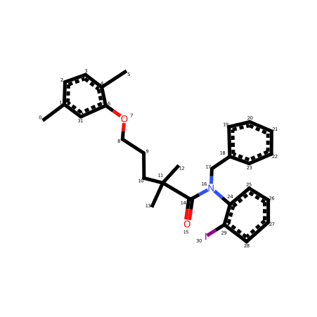 Cc1ccc(C)c(OCCCC(C)(C)C(=O)N(Cc2ccccc2)c2ccccc2I)c1